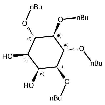 CCCCO[C@H]1[C@H](OCCCC)[C@@H](OCCCC)[C@@H](O)[C@@H](O)[C@@H]1OCCCC